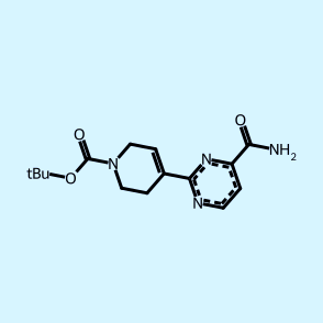 CC(C)(C)OC(=O)N1CC=C(c2nccc(C(N)=O)n2)CC1